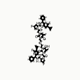 CC1=CN(CC(=O)N2C[C@H](F)C[C@H]2C(=O)N[C@@H](c2ccccc2)c2ccc(C3CC3)c(F)n2)C(=O)N(CCOCCn2c(=O)c(C)cn(CC(=O)N3C[C@H](F)C[C@H]3C(=O)N[C@@H](c3ccccc3)c3ccc(C4CC4)c(F)n3)c2=O)C1O